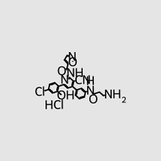 Cl.N#Cc1c(-c2cccc(NC(=O)CCN)c2)cc(-c2ccc(Cl)cc2O)nc1NC(=O)c1ccno1